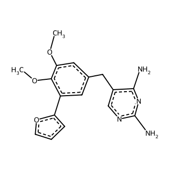 COc1cc(Cc2cnc(N)nc2N)cc(-c2ccco2)c1OC